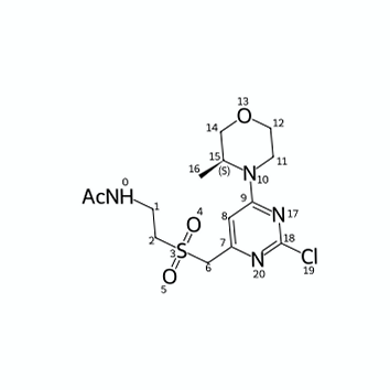 CC(=O)NCCS(=O)(=O)Cc1cc(N2CCOC[C@@H]2C)nc(Cl)n1